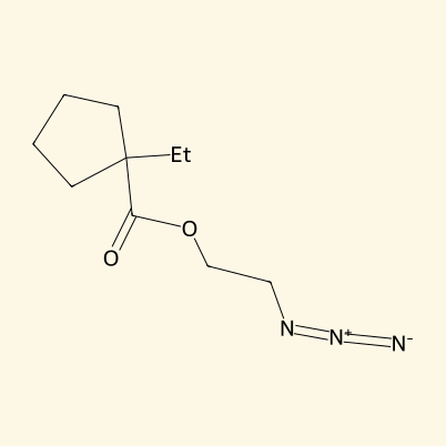 CCC1(C(=O)OCCN=[N+]=[N-])CCCC1